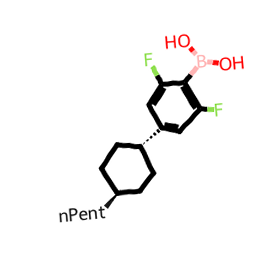 CCCCC[C@H]1CC[C@H](c2cc(F)c(B(O)O)c(F)c2)CC1